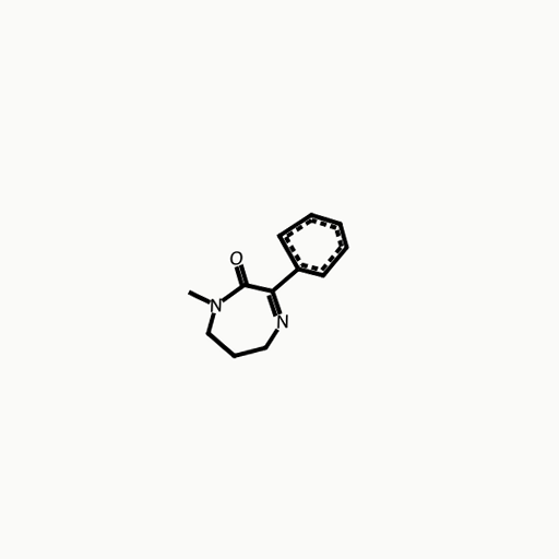 CN1CCCN=C(c2ccccc2)C1=O